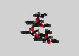 CCCCOC(C)(CC(=O)[O-])OCCCC.CCCCOC(C)(CC(=O)[O-])OCCCC.CCCCOC(C)(CC(=O)[O-])OCCCC.[Al+3]